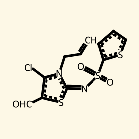 C=CCn1c(Cl)c(C=O)s/c1=N/S(=O)(=O)c1cccs1